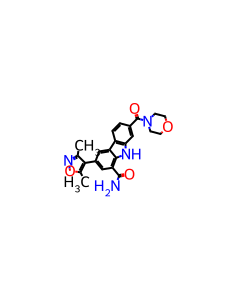 Cc1noc(C)c1-c1cc(C(N)=O)c2[nH]c3cc(C(=O)N4CCOCC4)ccc3c2c1